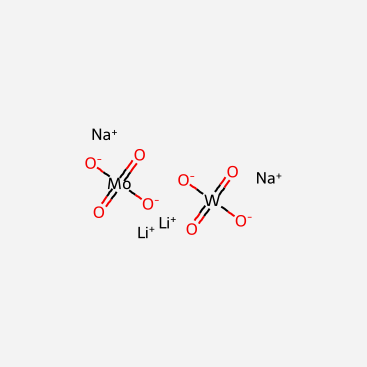 [Li+].[Li+].[Na+].[Na+].[O]=[Mo](=[O])([O-])[O-].[O]=[W](=[O])([O-])[O-]